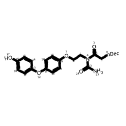 CCCCCCCCCCCC(=O)N(CCOc1ccc(Oc2ccc(O)cc2)cc1)C(N)=O